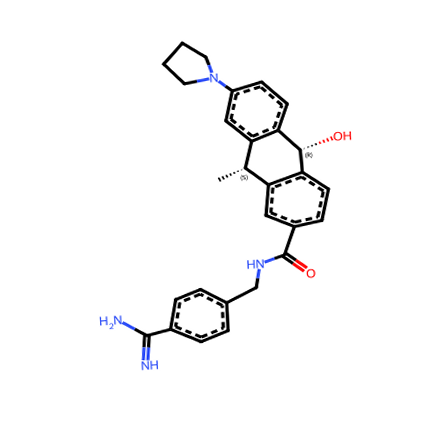 C[C@H]1c2cc(C(=O)NCc3ccc(C(=N)N)cc3)ccc2[C@@H](O)c2ccc(N3CCCC3)cc21